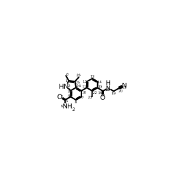 Cc1[nH]c2c(C(N)=O)ccc(-c3cccc(C(=O)NCC#N)c3C)c2c1C